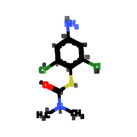 CN(C)C(=O)Sc1c(Cl)cc(N)cc1Cl